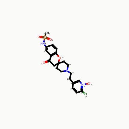 CS(=O)(=O)Nc1ccc2c(c1)C(=O)CC1(CCN(CCc3ccc(Cl)[n+]([O-])c3)CC1)O2